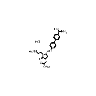 COC(=O)C[C@@H]1C[C@@H](COc2ccc(-c3ccc(C(=N)N)cc3)cc2)N(CCNC(C)=O)C1=O.Cl